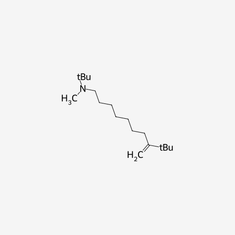 C=C(CCCCCCCN(C)C(C)(C)C)C(C)(C)C